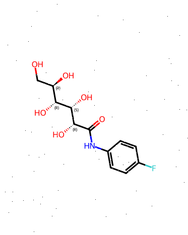 O=C(Nc1ccc(F)cc1)[C@H](O)[C@@H](O)[C@H](O)[C@H](O)CO